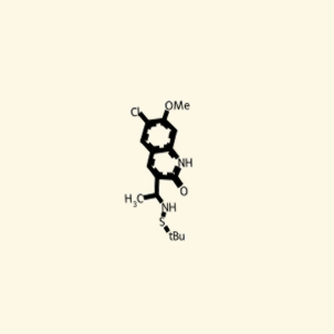 COc1cc2[nH]c(=O)c(C(C)NSC(C)(C)C)cc2cc1Cl